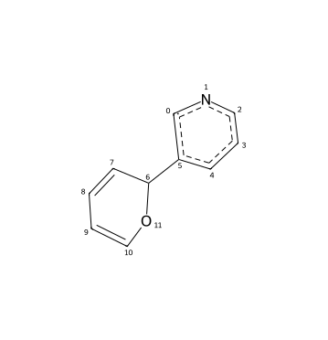 [c]1ncccc1C1C=CC=CO1